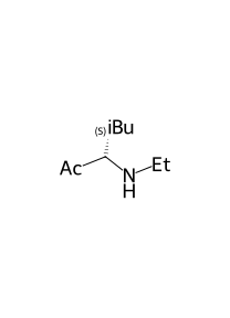 CCNC(C(C)=O)[C@@H](C)CC